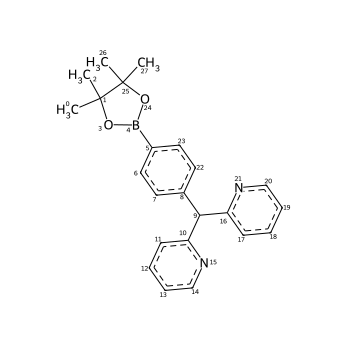 CC1(C)OB(c2ccc(C(c3ccccn3)c3ccccn3)cc2)OC1(C)C